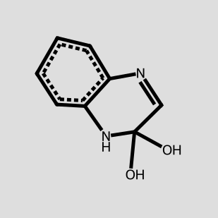 OC1(O)C=Nc2ccccc2N1